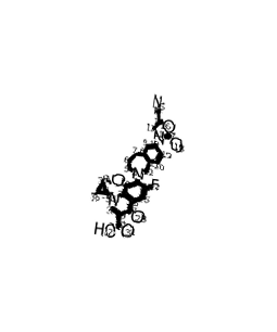 COc1c(N2CCCc3cc(N4CC(C#N)OC4=O)ccc3C2)c(F)cc2c(=O)c(C(=O)O)cn(C3CC3)c12